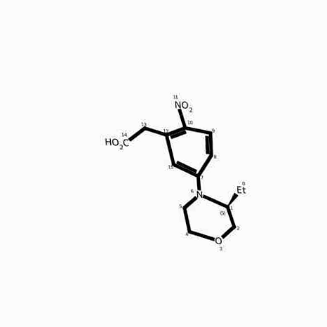 CC[C@H]1COCCN1c1ccc([N+](=O)[O-])c(CC(=O)O)c1